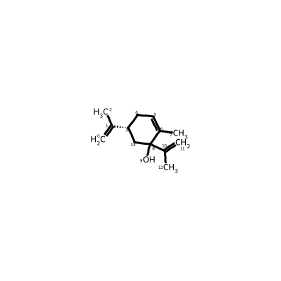 C=C(C)[C@@H]1CC=C(C)C(O)(C(=C)C)C1